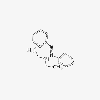 CCNCC.c1ccc(/N=N/c2ccccc2)cc1